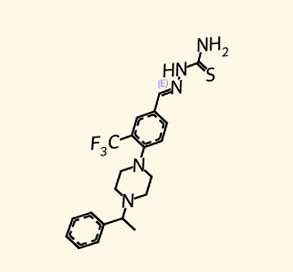 CC(c1ccccc1)N1CCN(c2ccc(/C=N/NC(N)=S)cc2C(F)(F)F)CC1